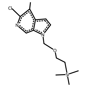 Cc1c(Cl)ncc2c1ccn2COCC[Si](C)(C)C